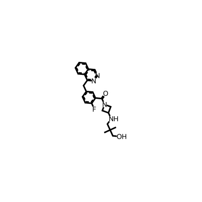 CC(C)(CO)CNC1CN(C(=O)c2cc(Cc3nncc4ccccc34)ccc2F)C1